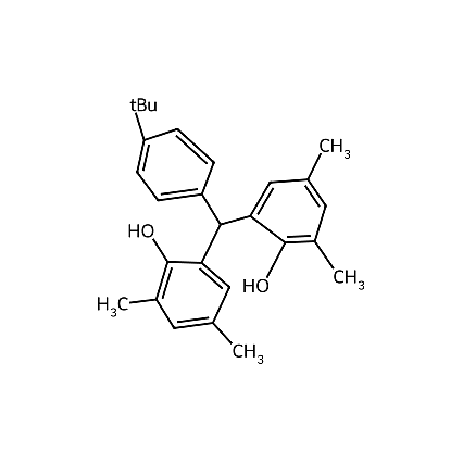 Cc1cc(C)c(O)c(C(c2ccc(C(C)(C)C)cc2)c2cc(C)cc(C)c2O)c1